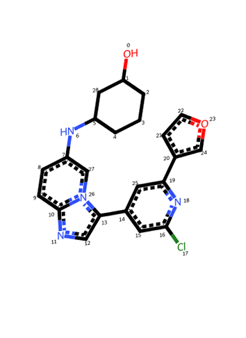 OC1CCCC(Nc2ccc3ncc(-c4cc(Cl)nc(-c5ccoc5)c4)n3c2)C1